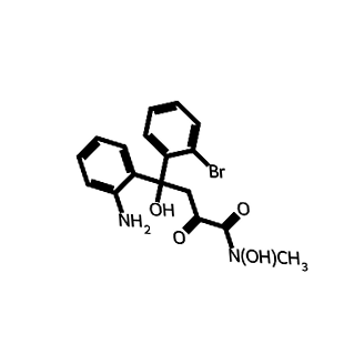 CN(O)C(=O)C(=O)CC(O)(c1ccccc1N)c1ccccc1Br